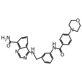 NC(=O)c1cccc2c(NCc3cccc(NC(=O)c4ccc(N5CCOCC5)cc4)c3)ncnc12